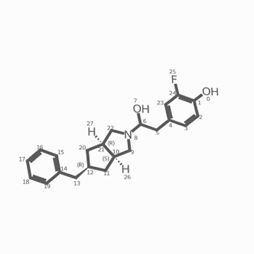 Oc1ccc(CC(O)N2C[C@H]3C[C@@H](Cc4ccccc4)C[C@H]3C2)cc1F